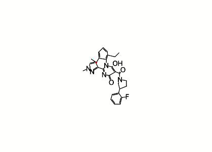 CCc1cccc(CC)c1-n1c(-c2ccn(C)n2)nc(=O)c(C(=O)N2CCC(c3ccccc3F)C2)c1O